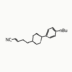 CCCCc1ccc(C2CCC(CCC=CC#N)CC2)cc1